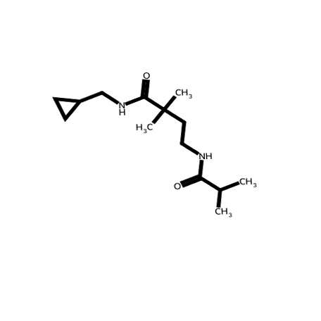 CC(C)C(=O)NCCC(C)(C)C(=O)NCC1CC1